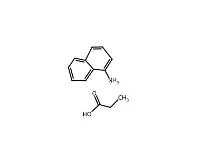 CCC(=O)O.Nc1cccc2ccccc12